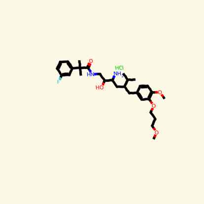 COCCCOc1cc(CC(CC(N)C(O)CNC(=O)C(C)(C)c2cccc(F)c2)C(C)C)ccc1OC.Cl